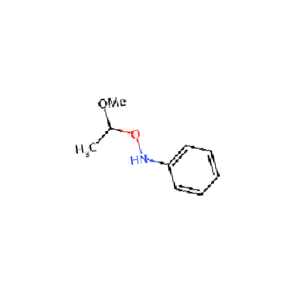 COC(C)ONc1ccccc1